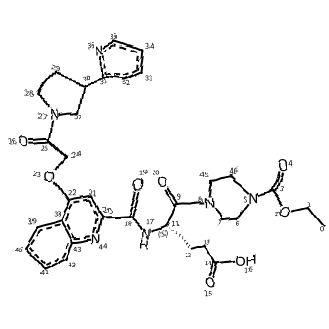 CCOC(=O)N1CCN(C(=O)[C@H](CCC(=O)O)NC(=O)c2cc(OCC(=O)N3CCC(c4ccccn4)C3)c3ccccc3n2)CC1